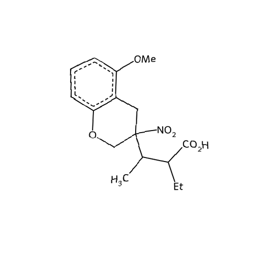 CCC(C(=O)O)C(C)C1([N+](=O)[O-])COc2cccc(OC)c2C1